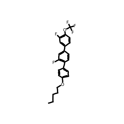 CCCCCOc1ccc(-c2ccc(-c3ccc(OC(F)(F)F)c(F)c3)cc2F)cc1